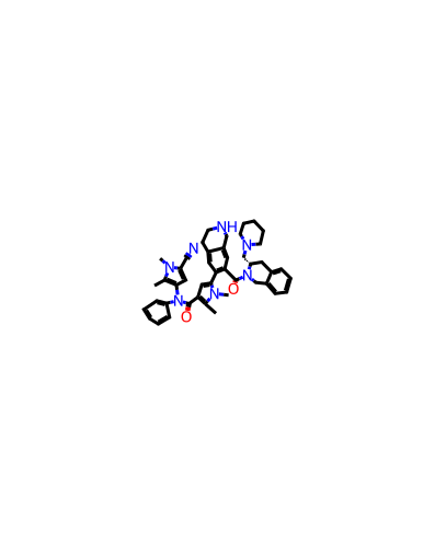 Cc1c(N(C(=O)c2cc(-c3cc4c(cc3C(=O)N3Cc5ccccc5C[C@H]3CN3CCCCC3)CNCC4)n(C)c2C)c2ccccc2)cc(C#N)n1C